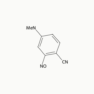 CNc1ccc(C#N)c(N=O)c1